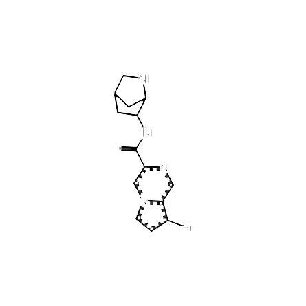 O=C(NC1CC2CNC1C2)c1cn2ccc(Br)c2cn1